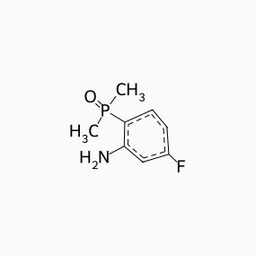 CP(C)(=O)c1ccc(F)cc1N